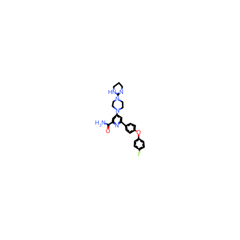 NC(=O)c1cc(N2CCN(C3=NCCCN3)CC2)cc(-c2ccc(Oc3ccc(F)cc3)cc2)n1